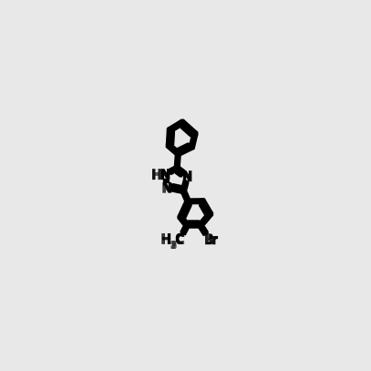 Cc1cc(-c2n[nH]c(-c3ccccc3)n2)ccc1Br